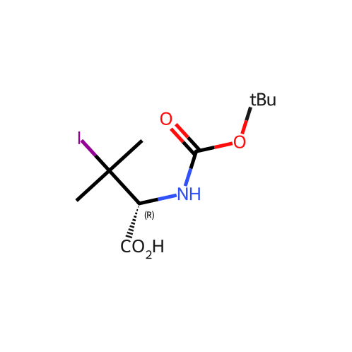 CC(C)(C)OC(=O)N[C@H](C(=O)O)C(C)(C)I